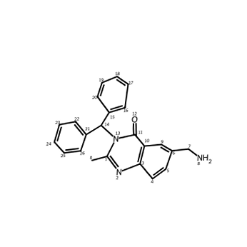 Cc1nc2ccc(CN)cc2c(=O)n1C(c1ccccc1)c1ccccc1